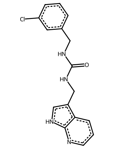 O=C(NCc1cccc(Cl)c1)NCc1c[nH]c2ncccc12